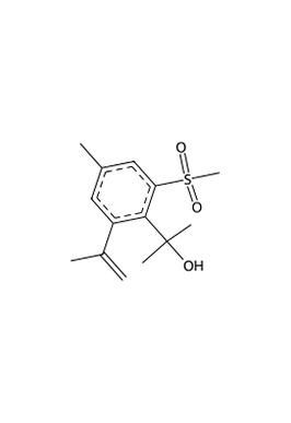 C=C(C)c1cc(C)cc(S(C)(=O)=O)c1C(C)(C)O